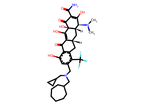 CN(C)[C@@H]1C(O)=C(C(N)=O)C(=O)[C@@]2(O)C(O)=C3C(=O)c4c(O)cc(CN(CC5CCCCCC5)CC5CC5)c(C(F)(F)F)c4C[C@H]3C[C@@H]12